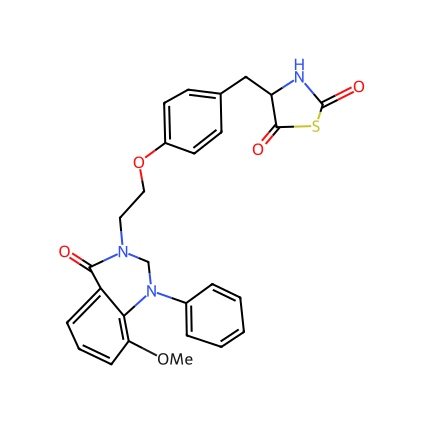 COc1cccc2c1N(c1ccccc1)CN(CCOc1ccc(CC3NC(=O)SC3=O)cc1)C2=O